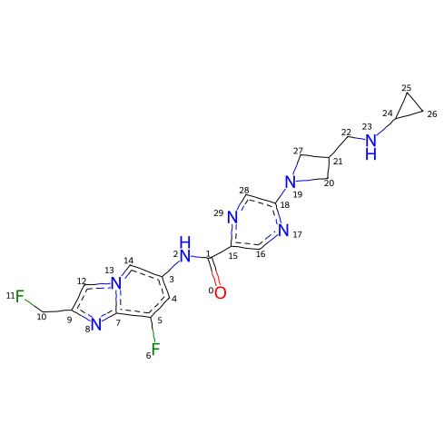 O=C(Nc1cc(F)c2nc(CF)cn2c1)c1cnc(N2CC(CNC3CC3)C2)cn1